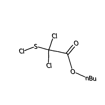 CCCCOC(=O)C(Cl)(Cl)SCl